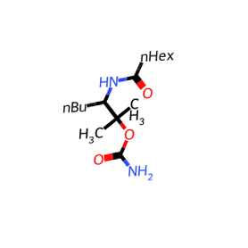 CCCCCCC(=O)NC(CCCC)C(C)(C)OC(N)=O